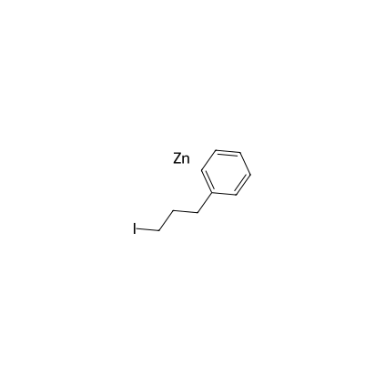 ICCCc1ccccc1.[Zn]